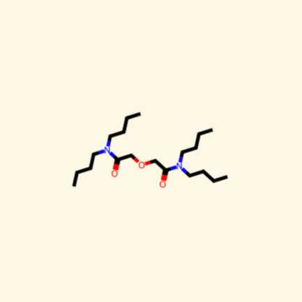 CCCCN(CCCC)C(=O)COCC(=O)N(CCCC)CCCC